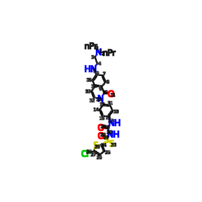 CCCN(CCC)CCNc1ccc2c(=O)n(-c3ccc(NC(=O)NS(=O)(=S)c4ccc(Cl)s4)cc3)ccc2c1